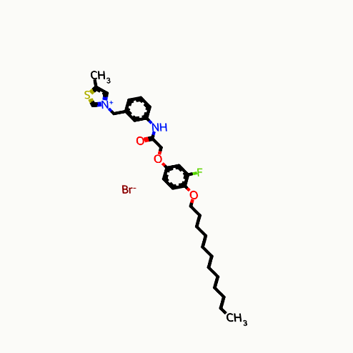 CCCCCCCCCCCCOc1ccc(OCC(=O)Nc2cccc(C[n+]3csc(C)c3)c2)cc1F.[Br-]